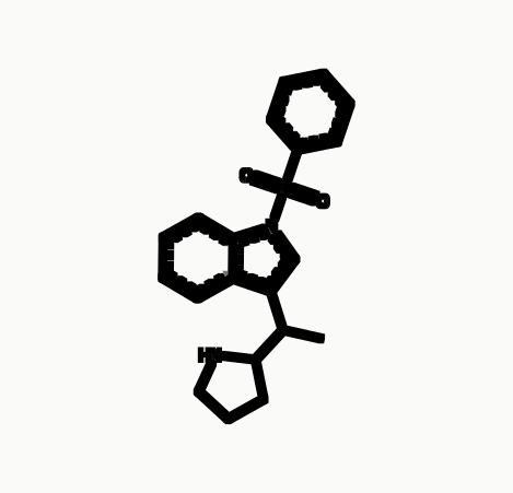 CC(c1cn(S(=O)(=O)c2ccccc2)c2ccccc12)C1CCCN1